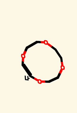 C1=COCCOCCOCCO1.[Li]